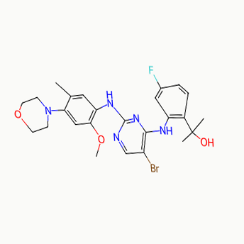 COc1cc(N2CCOCC2)c(C)cc1Nc1ncc(Br)c(Nc2cc(F)ccc2C(C)(C)O)n1